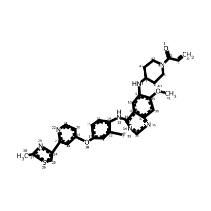 C=CC(=O)N1CCC(Nc2cc3c(Nc4ccc(Oc5ccnc(-c6csc(C)n6)c5)cc4F)ncnc3cc2OC)CC1